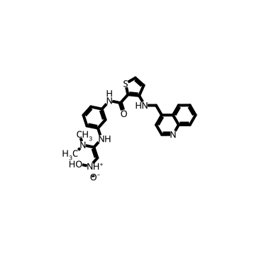 CN(C)/C(=C\[NH+]([O-])O)Nc1cccc(NC(=O)c2sccc2NCc2ccnc3ccccc23)c1